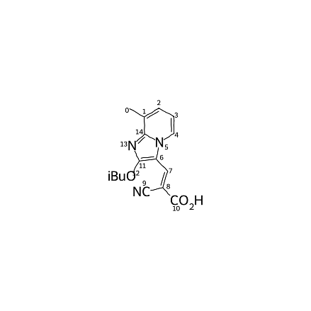 Cc1cccn2c(/C=C(\C#N)C(=O)O)c(OCC(C)C)nc12